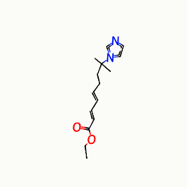 CCOC(=O)C=CC=CCCC(C)(C)n1ccnc1